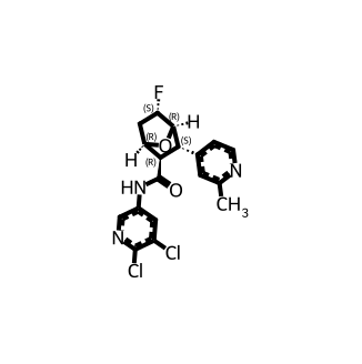 Cc1cc([C@H]2[C@H]3O[C@H](C[C@@H]3F)[C@@H]2C(=O)Nc2cnc(Cl)c(Cl)c2)ccn1